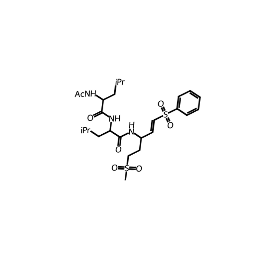 CC(=O)NC(CC(C)C)C(=O)NC(CC(C)C)C(=O)NC(C=CS(=O)(=O)c1ccccc1)CCS(C)(=O)=O